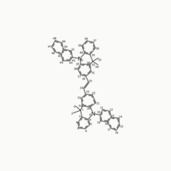 CC1(C)c2ccccc2N(c2ccc3ccccc3c2)c2ccc(/C=C/c3ccc4c(c3)C(C)(C)c3ccccc3N4c3ccc4ccccc4c3)cc21